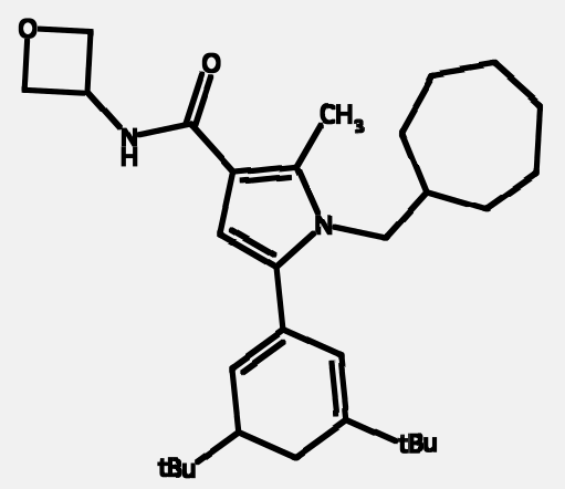 Cc1c(C(=O)NC2COC2)cc(C2=CC(C(C)(C)C)CC(C(C)(C)C)=C2)n1CC1CCCCCC1